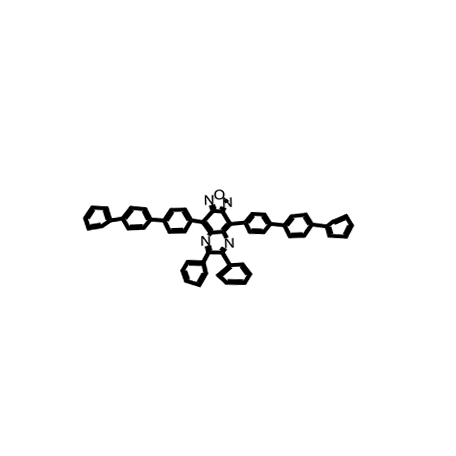 c1ccc(-c2ccc(-c3ccc(-c4c5nonc5c(-c5ccc(-c6ccc(-c7ccccc7)cc6)cc5)c5nc(-c6ccccc6)c(-c6ccccc6)nc45)cc3)cc2)cc1